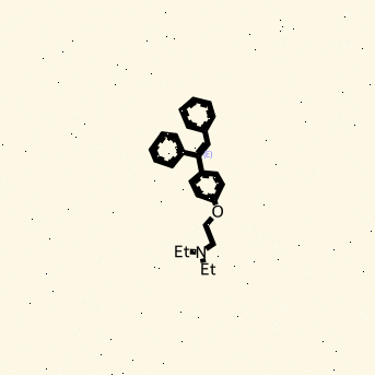 CCN(CC)CCOc1ccc(/C(=C/c2ccccc2)c2ccccc2)cc1